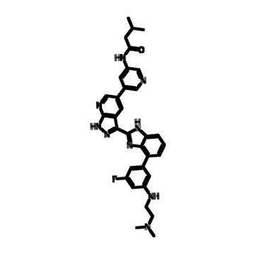 CC(C)CC(=O)Nc1cncc(-c2cnc3[nH]nc(-c4nc5c(-c6cc(F)cc(NCCN(C)C)c6)cccc5[nH]4)c3c2)c1